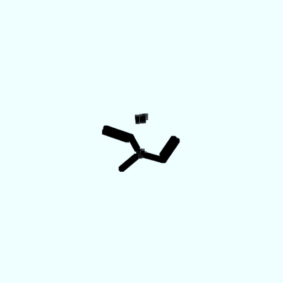 C=C[Si](C)C=C.F